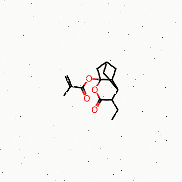 C=C(C)C(=O)OC12CC3CC(C(CC)C(=O)O1)C2C3